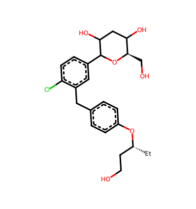 CC[C@H](CCO)Oc1ccc(Cc2cc(C3O[C@H](CO)C(O)CC3O)ccc2Cl)cc1